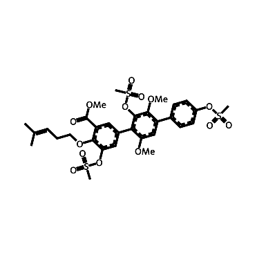 COC(=O)c1cc(-c2c(OC)cc(-c3ccc(OS(C)(=O)=O)cc3)c(OC)c2OS(C)(=O)=O)cc(OS(C)(=O)=O)c1OCCC=C(C)C